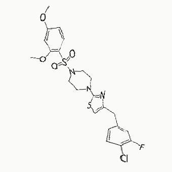 COc1ccc(S(=O)(=O)N2CCN(c3nc(Cc4ccc(Cl)c(F)c4)cs3)CC2)c(OC)c1